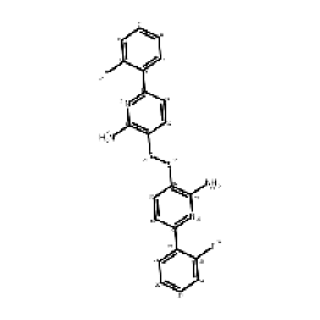 Nc1nc(-c2ccccc2F)ccc1SSc1ccc(-c2ccccc2F)nc1N